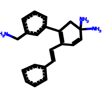 NCc1cccc(C2=C(C=Cc3ccccc3)C=CC(N)(N)C2)c1